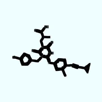 Cc1cc(N=c2[nH]c(=O)n(CC(C)C(=O)O)c(=O)n2Cc2ccc(Cl)cc2)ccc1C#CC1CC1